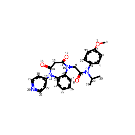 COc1ccc(N(C(=O)CN2C(=O)CC(=O)N(c3ccncc3)c3ccccc32)C(C)C)cc1